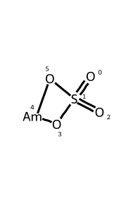 O=S1(=O)[O][Am][O]1